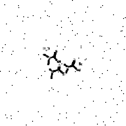 CN(C)C(=S)S.CN(C)C(=S)S.CN(C)C(=S)S.O.[Fe]